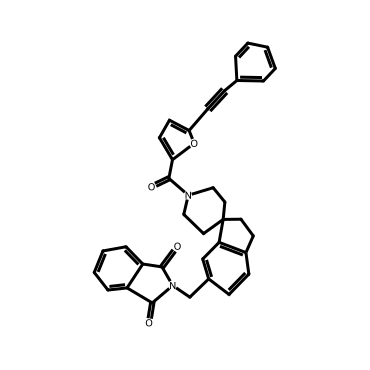 O=C(c1ccc(C#Cc2ccccc2)o1)N1CCC2(CCc3ccc(CN4C(=O)c5ccccc5C4=O)cc32)CC1